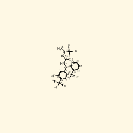 C[C@H](NC(=O)NC(c1ccc(C(F)(F)F)c(F)c1)c1ncccc1C(F)(F)F)C(F)(F)F